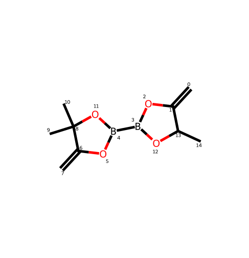 C=C1OB(B2OC(=C)C(C)(C)O2)OC1C